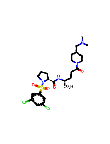 CN(C)CC1CCN(C(=O)CC[C@H](NC(=O)[C@@H]2CCCN2S(=O)(=O)c2cc(Cl)cc(Cl)c2)C(=O)O)CC1